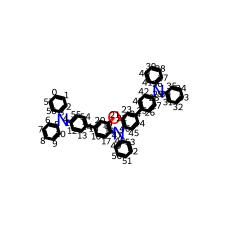 c1ccc(N(c2ccccc2)c2ccc(-c3ccc4c(c3)Oc3cc(-c5ccc(N(c6ccccc6)c6ccccc6)cc5)ccc3N4c3ccccc3)cc2)cc1